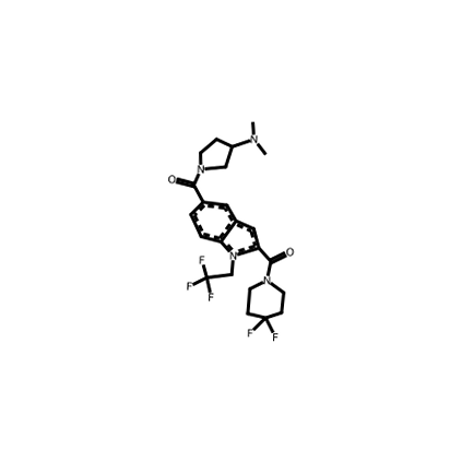 CN(C)C1CCN(C(=O)c2ccc3c(c2)cc(C(=O)N2CCC(F)(F)CC2)n3CC(F)(F)F)C1